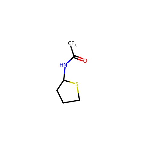 O=C(NC1CCCS1)C(F)(F)F